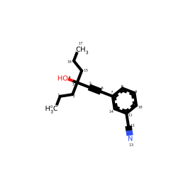 CCCC(O)(C#Cc1cccc(C#N)c1)CCC